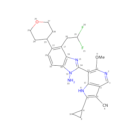 COc1ncc2c(C#N)c(C3CC3)[nH]c2c1-c1nc2c(CC(F)F)c(C3CCOCC3)ccc2n1N